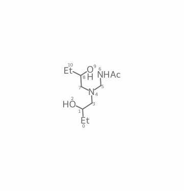 CCC(O)CN(CNC(C)=O)CC(O)CC